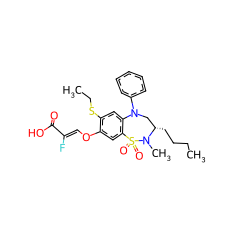 CCCC[C@H]1CN(c2ccccc2)c2cc(SCC)c(O/C=C(\F)C(=O)O)cc2S(=O)(=O)N1C